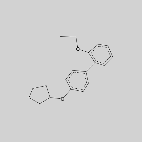 CCOc1ccccc1-c1ccc(OC2[CH]CCC2)cc1